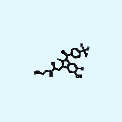 Cc1c(CC(=O)NCCO)c2cc(O)c(Cl)cc2n1C(=O)c1ccc(C(F)(F)F)cc1